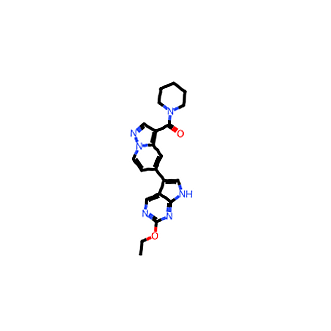 CCOc1ncc2c(-c3ccn4ncc(C(=O)N5CCCCC5)c4c3)c[nH]c2n1